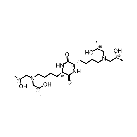 C[C@H](O)CN(CCCC[C@@H]1NC(=O)[C@@H](CCCCN(C[C@@H](C)O)C[C@@H](C)O)NC1=O)C[C@@H](C)O